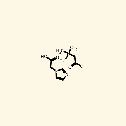 C[N+](C)(C)CC(=O)[O-].O=C(O)Cn1ccnc1